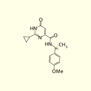 COc1ccc([C@@H](C)NC(=O)c2cc(=O)[nH]c(C3CC3)n2)cc1